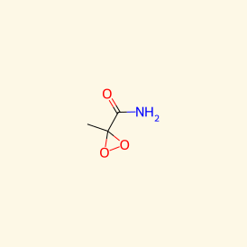 CC1(C(N)=O)OO1